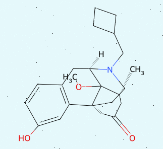 COC12[C@H](C)CC(=O)C[C@@]13CCN(CC1CCC1)[C@@H]2Cc1ccc(O)cc13